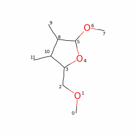 COCC1OC(OC)C(C)C1C